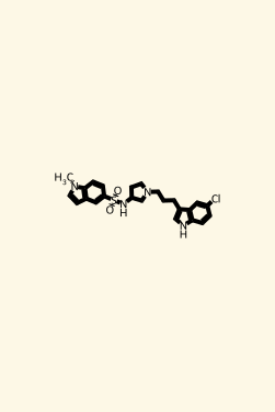 Cn1ccc2cc(S(=O)(=O)NC3CCN(CCCc4c[nH]c5ccc(Cl)cc45)C3)ccc21